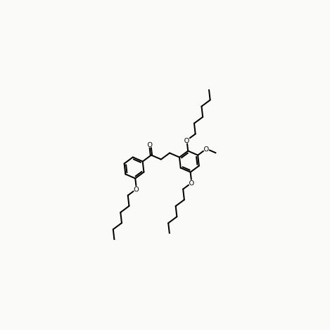 CCCCCCOc1cccc(C(=O)CCc2cc(OCCCCCC)cc(OC)c2OCCCCCC)c1